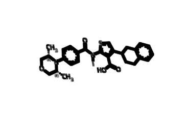 C[C@@H]1COC[C@H](C)N1c1ccc(C(=O)N(I)c2scc(C3CCc4ccccc4C3)c2C(=O)O)cc1